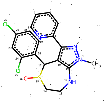 Cn1nc(-c2ccccn2)c2c1NCC[S+]([O-])C2c1ccc(Cl)cc1Cl